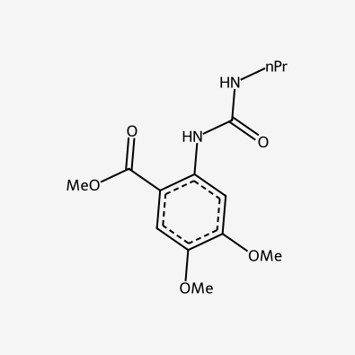 CCCNC(=O)Nc1cc(OC)c(OC)cc1C(=O)OC